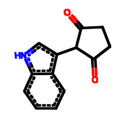 O=C1CCC(=O)C1c1c[nH]c2ccccc12